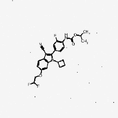 CC(C)OC(=O)Nc1ccc(-c2c(C#N)c3ccc(OCC(F)F)cc3n2C2CCC2)cc1F